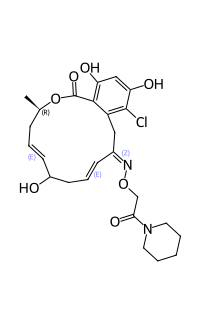 C[C@@H]1C/C=C/C(O)C/C=C/C(=N\OCC(=O)N2CCCCC2)Cc2c(Cl)c(O)cc(O)c2C(=O)O1